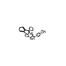 Cc1nsc(-c2ccc(O)cc2)c1CN1C(=O)c2ccccc2C1=O